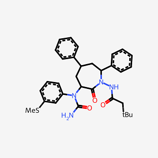 CSc1cccc(N(C(N)=O)C2CC(c3ccccc3)CC(c3ccccc3)N(NC(=O)CC(C)(C)C)C2=O)c1